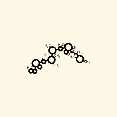 C=c1ccccc(=C)c(/C(C)=C/C=C(\C)c2c(=C)ccccc(=C)c(-c3ccc(-c4ccc(=C)cccc(-c5cccc(=C)ccc(-c6ccc(-c7c(=C)ccccc(=C)c(-c8cccc9ccccc89)c8ccccc78)cc6)cc5=C)c(=C)c4)cc3)c3ccccc23)ccc1